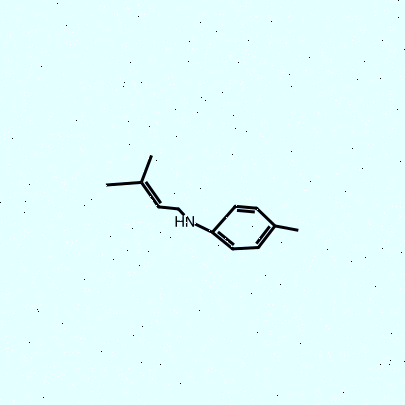 CC(C)=CCNc1ccc(C)cc1